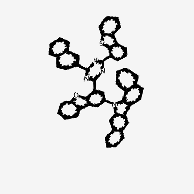 c1ccc2cc(-c3nc(-c4cc(-n5c6cc7ccccc7cc6c6ccc7ccccc7c65)cc5c4oc4ccccc45)nc(-c4cccc5c4sc4ccccc45)n3)ccc2c1